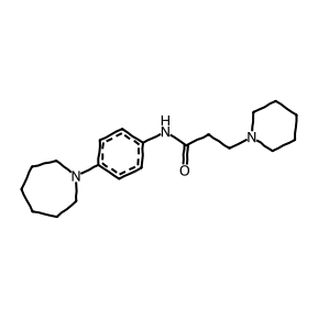 O=C(CCN1CCCCC1)Nc1ccc(N2CCCCCC2)cc1